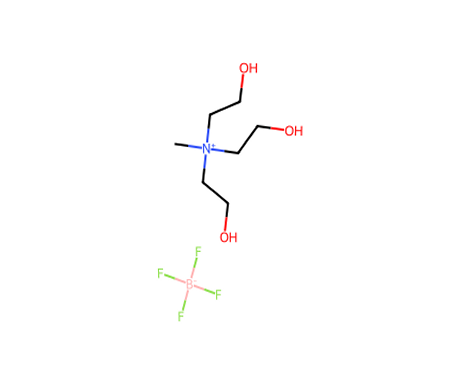 C[N+](CCO)(CCO)CCO.F[B-](F)(F)F